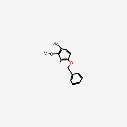 COc1c(C(C)=O)ccc(OCc2ccccc2)c1F